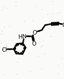 O=C(Nc1cccc(Cl)c1)OCCC#CCl